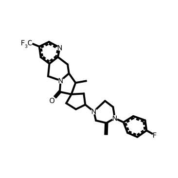 C=C1CN(C2CCC3(C2)C(=O)N2Cc4cc(C(F)(F)F)cnc4CC2C3C)CCN1c1ccc(F)cc1